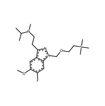 COc1cc2c(CCN(C)C(C)C)nn(COCC[Si](C)(C)C)c2cc1F